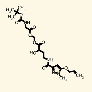 C=CCOc1cc(C(=O)NCCC(O)C(=O)OCOC(=O)CNC(=O)OC(C)(C)C)nn1C